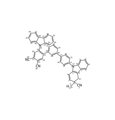 CC1(C#N)C=Cc2c(c3ccccc3n2-c2ccc(-c3cccc(-c4cc(C#N)c(C#N)cc4-n4c5ccccc5c5ccccc54)c3)cc2)C1